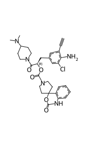 C#Cc1cc(C[C@@H](OC(=O)N2CCC3(CC2)OC(=O)Nc2ccccc23)C(=O)N2CCC(N(C)C)CC2)cc(Cl)c1N